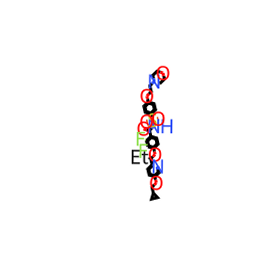 CC[C@@H](Oc1ccc(C(=O)NS(=O)(=O)c2ccc(OCCN3CCOCC3)cc2)c(F)c1F)c1ccc(OCC2CC2)cn1